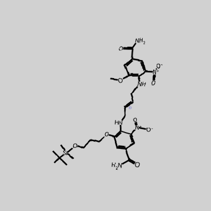 COc1cc(C(N)=O)cc([N+](=O)[O-])c1NC/C=C/CNc1c(OCCCO[Si](C)(C)C(C)(C)C)cc(C(N)=O)cc1[N+](=O)[O-]